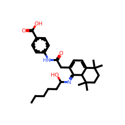 CCCCCC(O)N=C1C(CC(=O)Nc2ccc(C(=O)O)cc2)=CC=C2C1C(C)(C)CCC2(C)C